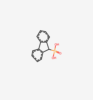 O=P(O)(O)C1c2ccccc2-c2ccccc21